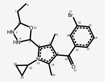 CCC1NNC(c2c(C)c(C(=O)c3cccc(Br)c3)c(C)n2C2CC2)O1